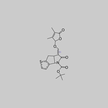 CC1=C(C)C(O/C=C2/C(=O)N(C(=O)OC(C)(C)C)C3c4ccsc4CC23)OC1=O